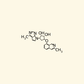 Cc1cc2cccc(O[C@H]3C[C@@H](n4ccc5c(C)ncnc54)[C@H](O)[C@@H]3O)c2cn1